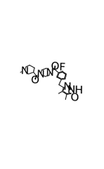 Cc1c(Cc2ccc(F)c(C(=O)N3CCN(C(=O)C4CCCN(C)C4)CC3)c2)n[nH]c(=O)c1C